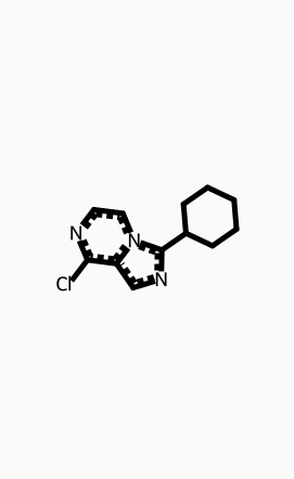 Clc1nccn2c(C3CCCCC3)ncc12